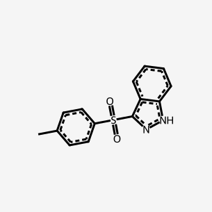 Cc1ccc(S(=O)(=O)c2n[nH]c3ccccc23)cc1